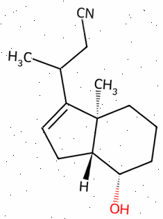 CC(CC#N)C1=CC[C@H]2[C@@H](O)CCC[C@]12C